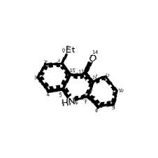 [CH2]Cc1cccc2[nH]c3ccccc3c(=O)c12